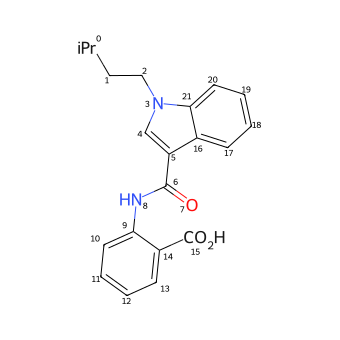 CC(C)CCn1cc(C(=O)Nc2ccccc2C(=O)O)c2ccccc21